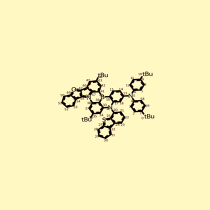 CC(C)(C)c1ccc(N(c2ccc(C(C)(C)C)cc2)c2ccc3c(c2)N(c2cccc4c2sc2ccccc24)c2cc(C(C)(C)C)cc4c2B3c2cc(C(C)(C)C)cc3c5oc6ccccc6c5n-4c23)cc1